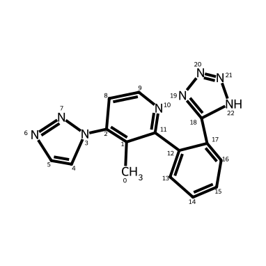 Cc1c(-n2ccnn2)ccnc1-c1ccccc1-c1nnn[nH]1